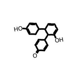 O=C1C=CC(C2C(O)=CC=CC2C2C=CC(O)=CC2)C=C1